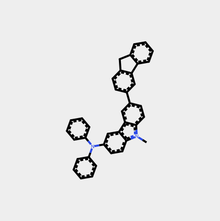 Cn1c2ccc(-c3ccc4c(c3)-c3ccccc3C4)cc2c2cc(N(c3ccccc3)c3ccccc3)ccc21